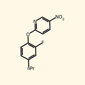 CCCc1ccc(Oc2ccc([N+](=O)[O-])cn2)c(F)c1